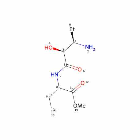 CC[C@@H](N)[C@H](O)C(=O)N[C@@H](CC(C)C)C(=O)OC